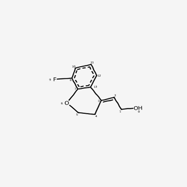 OCC=C1CCOc2c(F)cccc21